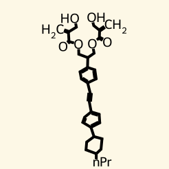 C=C(CO)C(=O)OCC(COC(=O)C(=C)CO)c1ccc(C#Cc2ccc(C3CCC(CCC)CC3)cc2)cc1